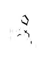 CCOCC(OC)(OCC)Oc1ccsc1